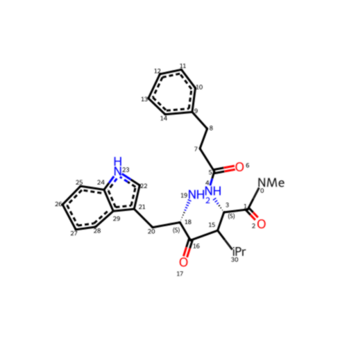 CNC(=O)[C@@H](NC(=O)CCc1ccccc1)C(C(=O)[C@@H](N)Cc1c[nH]c2ccccc12)C(C)C